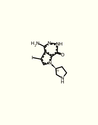 Nc1n[nH]c(=O)c2c1c(I)cn2[C@H]1CCNC1